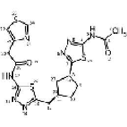 CC(=O)Nc1nnc([C@H]2CC[C@@H](Cc3nnc(NC(=O)Cc4cscn4)s3)C2)s1